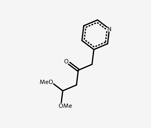 COC(CC(=O)Cc1cccnc1)OC